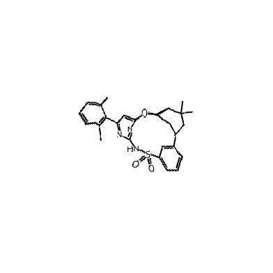 Cc1cccc(C)c1-c1cc2nc(n1)NS(=O)(=O)c1cccc(c1)C1CC(CC(C)(C)C1)O2